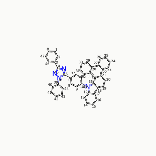 c1ccc(-c2nc(-c3ccc(-n4c5ccccc5c5ccc6c7ccccc7c7ccccc7c6c54)cc3)n(-c3ccccc3)n2)cc1